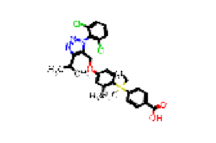 CCS(C)(c1ccc(C(=O)O)cc1)c1ccc(OCc2c(C(C)C)nnn2-c2c(Cl)cccc2Cl)cc1C